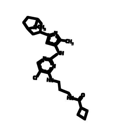 Cc1nn(C2CC3CCC(C2)N3C)cc1Nc1ncc(Cl)c(NCCCNC(=O)C2CCC2)n1